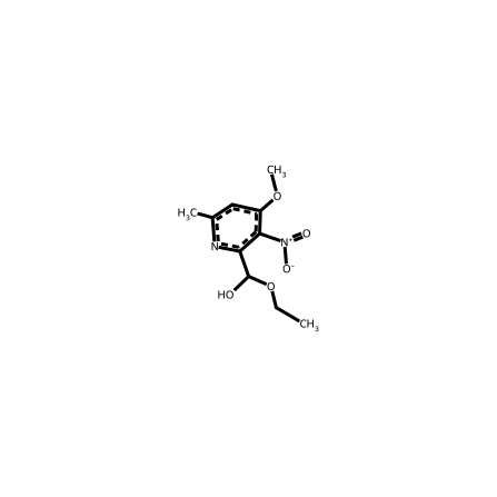 CCOC(O)c1nc(C)cc(OC)c1[N+](=O)[O-]